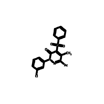 CC(=O)c1nn(-c2cccc(Cl)c2)c(=O)c(S(=O)(=O)c2ccccc2)c1C